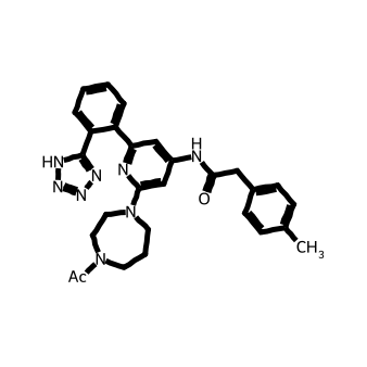 CC(=O)N1CCCN(c2cc(NC(=O)Cc3ccc(C)cc3)cc(-c3ccccc3-c3nnn[nH]3)n2)CC1